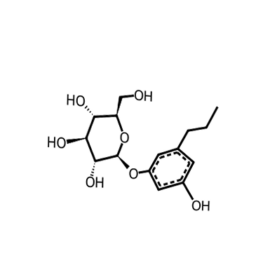 CCCc1cc(O)cc(O[C@@H]2O[C@H](CO)[C@@H](O)[C@H](O)[C@H]2O)c1